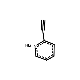 C#Cc1ccccn1.[LiH]